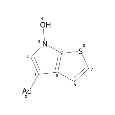 CC(=O)c1cn(O)c2sccc12